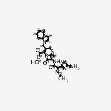 CO/N=C(/C(=O)N[C@@H]1C(=O)N2C(C(=O)[O-])=C(Cn3cc[n+]4ncccc34)CS[C@H]12)c1nsc(N)n1.Cl